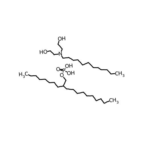 CCCCCCCCCCC(CCCCCCCC)COP(=O)(O)O.CCCCCCCCCCCCN(CCO)CCO